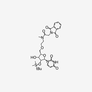 CN(CCOC[C@H]1O[C@@H](n2ccc(=O)[nH]c2=O)[C@@H](O[Si](C)(C)C(C)(C)C)C1O)C(=O)CN1C(=O)c2ccccc2C1=O